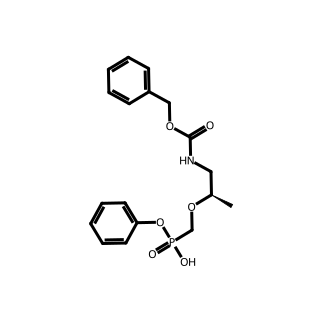 C[C@H](CNC(=O)OCc1ccccc1)OCP(=O)(O)Oc1ccccc1